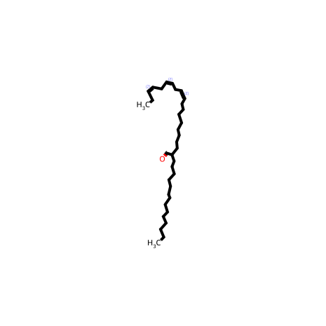 CC/C=C\C/C=C\C/C=C\CCCCCCCCC([C]=O)CCCCCCCCCCCCCC